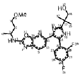 COCC[C@H](C)Nc1nc2ccc(-c3nc(C(C)(C)CO)[nH]c3-c3ccc(F)cc3F)nc2o1